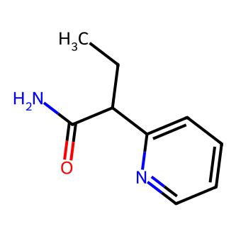 CCC(C(N)=O)c1ccccn1